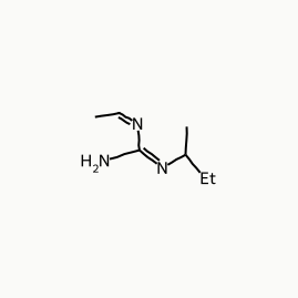 C/C=N\C(N)=N/C(C)CC